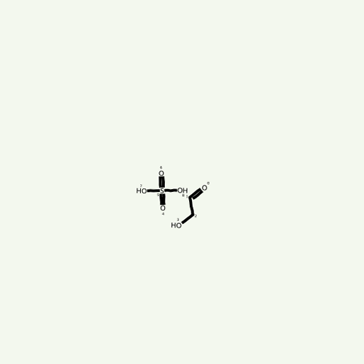 O=CCO.O=S(=O)(O)O